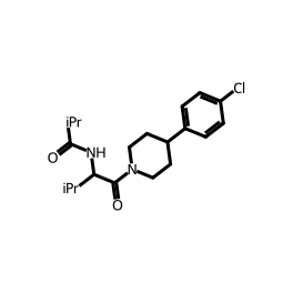 CC(C)C(=O)NC(C(=O)N1CCC(c2ccc(Cl)cc2)CC1)C(C)C